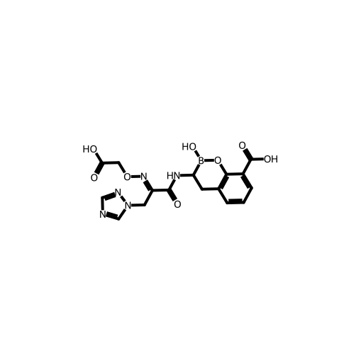 O=C(O)CON=C(Cn1cncn1)C(=O)NC1Cc2cccc(C(=O)O)c2OB1O